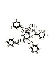 COOC1(OCc2ccccc2)CC(COCc2ccccc2)[C@@H](OCc2ccccc2)[C@H](OCc2ccccc2)[C@@H]1C